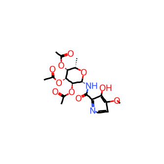 COc1ccnc(C(=O)N[C@H]2O[C@@H](C)[C@@H](OC(C)=O)[C@@H](OC(C)=O)[C@@H]2OC(C)=O)c1O